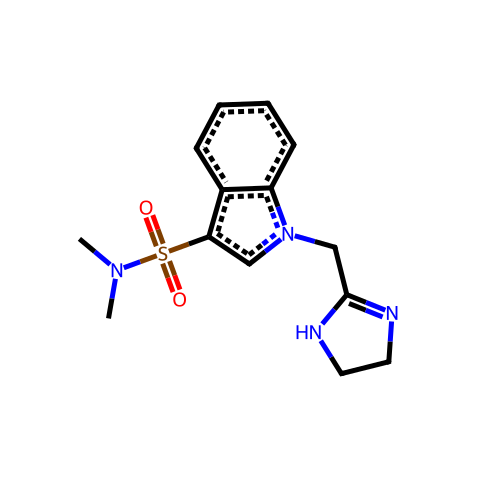 CN(C)S(=O)(=O)c1cn(CC2=NCCN2)c2ccccc12